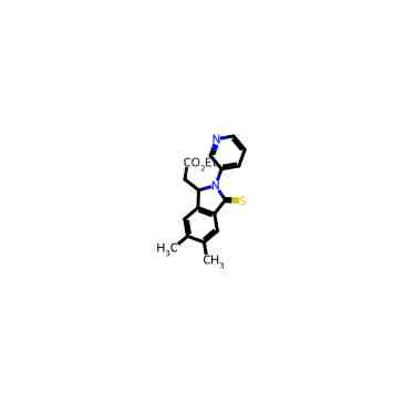 CCOC(=O)CC1c2cc(C)c(C)cc2C(=S)N1c1cccnc1